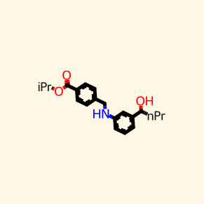 CCCC(O)c1cccc(NCc2ccc(C(=O)OC(C)C)cc2)c1